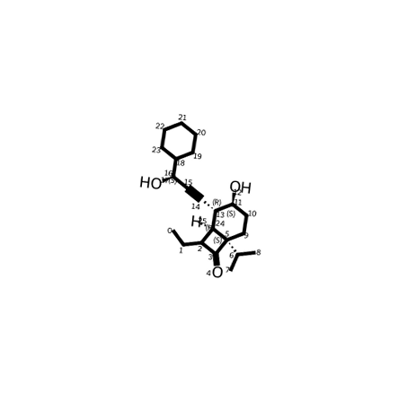 CCC1C(=O)[C@]2(C(C)C)CC[C@H](O)[C@@H](C#C[C@@H](O)C3CCCCC3)[C@H]12